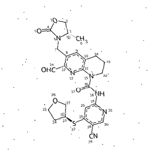 C[C@H]1COC(=O)N1Cc1cc2c(nc1C=O)N(C(=O)Nc1cc(S[C@H]3CCOC3)c(C#N)cn1)CCC2